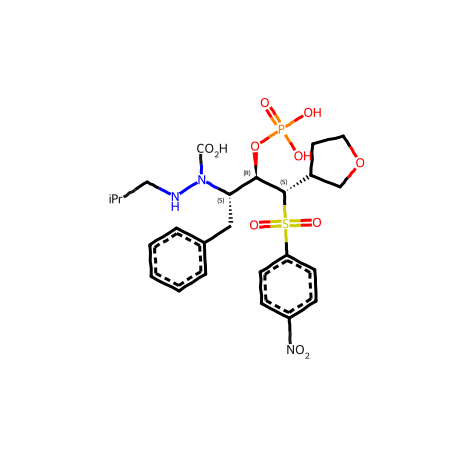 CC(C)CNN(C(=O)O)[C@@H](Cc1ccccc1)[C@@H](OP(=O)(O)O)[C@H](C1CCOC1)S(=O)(=O)c1ccc([N+](=O)[O-])cc1